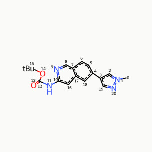 Cn1cc(-c2ccc3cnc(NC(=O)OC(C)(C)C)cc3c2)cn1